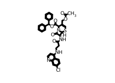 CC(=O)OCC1=CS[C@@H]2[C@H](NC(=O)CCNc3ccnc4cc(Cl)ccc34)C(=O)N2C1C(=O)OC(c1ccccc1)c1ccccc1